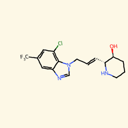 O[C@H]1CCCN[C@@H]1/C=C/Cn1cnc2cc(C(F)(F)F)cc(Cl)c21